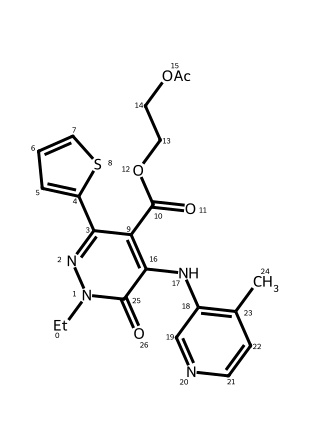 CCn1nc(-c2cccs2)c(C(=O)OCCOC(C)=O)c(Nc2cnccc2C)c1=O